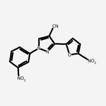 N#Cc1cn(-c2cccc([N+](=O)[O-])c2)nc1-c1ccc([N+](=O)[O-])o1